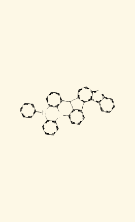 c1ccc(N2c3ccccc3B3c4cccc5c4C(c4cccc2c43)c2ccc3oc4ccccc4c3c2-5)cc1